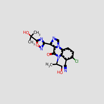 CC(CO)n1c(=O)c2c(-c3noc(C(C)(C)O)n3)ncn2c2ccc(Cl)c(C#N)c21